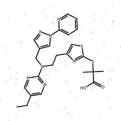 CCc1cnc(N(CCc2csc(SC(C)(C)C(=O)O)n2)Cc2cnn(-c3ccccn3)c2)nc1